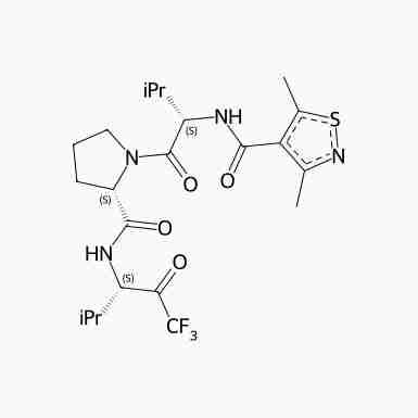 Cc1nsc(C)c1C(=O)N[C@H](C(=O)N1CCC[C@H]1C(=O)N[C@H](C(=O)C(F)(F)F)C(C)C)C(C)C